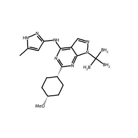 BC(B)(B)n1ncc2c(Nc3cc(C)[nH]n3)nc([C@H]3CC[C@@H](OC)CC3)nc21